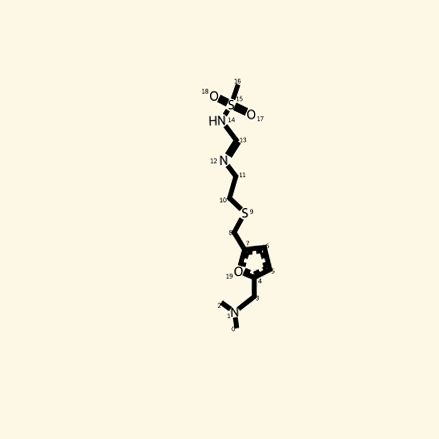 CN(C)Cc1ccc(CSCC/N=C/NS(C)(=O)=O)o1